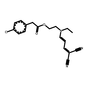 CCN(/C=C/C=C(C#N)C#N)CCOC(=O)Cc1ccc(Cl)cc1